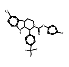 Fc1ccc(OC(=S)N2CCC3c4cc(Cl)ccc4NC3C2c2ccc(C(F)(F)F)cc2)cc1